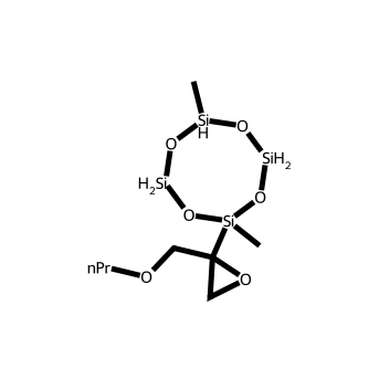 CCCOCC1([Si]2(C)O[SiH2]O[SiH](C)O[SiH2]O2)CO1